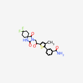 Cc1cc(C(=O)CN2C(=O)NC3(CCC(F)(F)CC3)C2=O)sc1-c1cccc(C(N)=O)c1